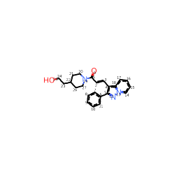 O=C(/C=C/c1c(-c2ccccc2)nn2ccccc12)N1CCC(CCO)CC1